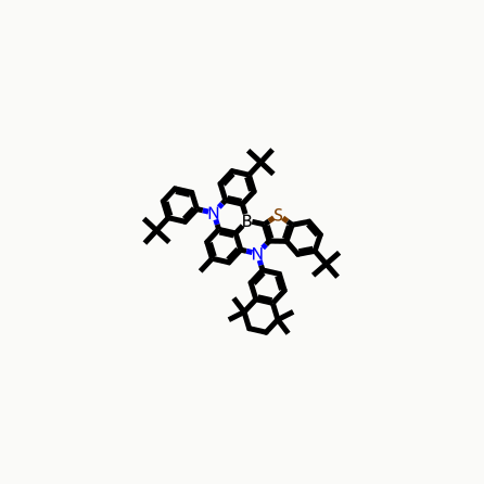 Cc1cc2c3c(c1)N(c1ccc4c(c1)C(C)(C)CCC4(C)C)c1c(sc4ccc(C(C)(C)C)cc14)B3c1cc(C(C)(C)C)ccc1N2c1cccc(C(C)(C)C)c1